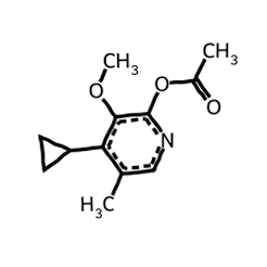 COc1c(OC(C)=O)ncc(C)c1C1CC1